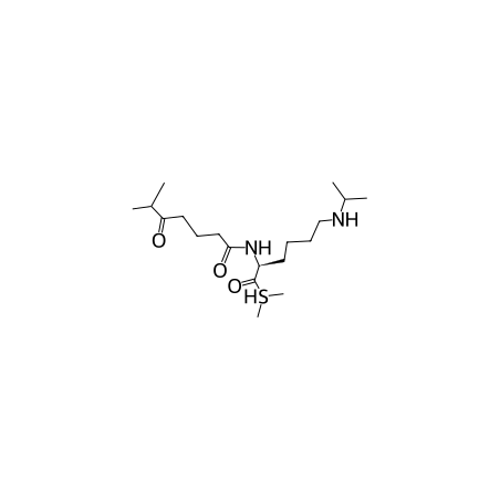 CC(C)NCCCC[C@H](NC(=O)CCCC(=O)C(C)C)C(=O)[SH](C)C